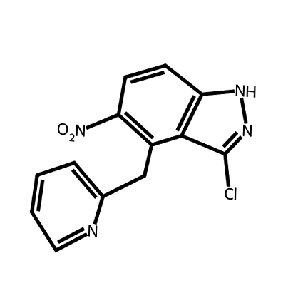 O=[N+]([O-])c1ccc2[nH]nc(Cl)c2c1Cc1ccccn1